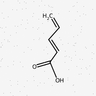 C=CC=CC(=O)O